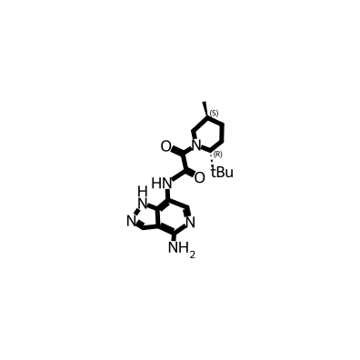 C[C@H]1CC[C@H](C(C)(C)C)N(C(=O)C(=O)Nc2cnc(N)c3cn[nH]c23)C1